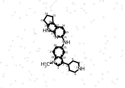 Cn1cc(C2CCNCC2)c2cc(Nc3ccc4c5c([nH]c4n3)CCC5)ccc21